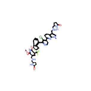 COc1nc(O[C@H]2CCc3c(-c4nccc(-c5ccc6c(CNCC7CCC(=O)N7)cn(C)c6n5)c4Cl)cccc32)c(C(F)(F)F)cc1CNCC1CCC(=O)N1